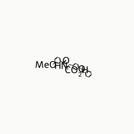 COc1cccc(C(=O)N[C@@H](Cc2ccc(OCc3ccccc3)cc2)C(=O)O)c1